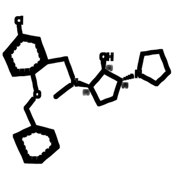 CN(Cc1cc(Cl)ccc1OCc1ccccc1)[C@@H]1CC[C@@H](N2CCCC2)[C@@H]1O